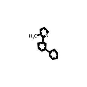 Cc1cccnc1-c1cccc(-c2ccccc2)c1